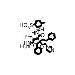 CC(C)C[C@@H](C(=O)NN)[C@H](C(=O)NO)C(CCc1ccccc1)(Cc1ccccc1)C(=O)Cn1ccnc1.Cc1ccc(S(=O)(=O)O)cc1